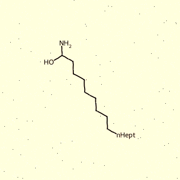 CCCCCCCCCCCC[CH]CCC(N)O